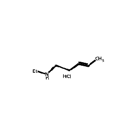 C/C=C/CCNCC.Cl